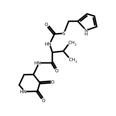 CC(C)C(NC(=O)SCc1ccc[nH]1)C(=O)NC1CCNC(=O)C1=O